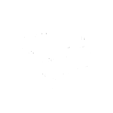 CCC1(O)CCN(Cc2nc3c(oc4ccc(Br)cc43)c(=O)[nH]2)C1